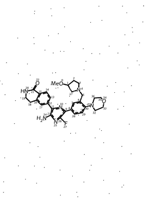 COC1CCN(Cc2cc(-c3nc(-c4ccc5c(c4)CCNC5=O)c(N)nc3F)ccc2N2CCOCC2)C1